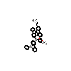 CCCc1ccc2c(c1)C1(c3ccccc3-c3ccc(N(c4ccccc4)c4ccc5c(c4)c4ccccc4n5-c4ccccc4)cc31)c1cc(CCC)ccc1-2